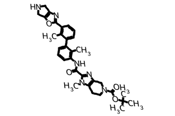 Cc1c(NC(=O)c2nc3c(n2C)CCN(C(=O)OC(C)(C)C)C3)cccc1-c1cccc(-c2nc3c(o2)CNC3)c1C